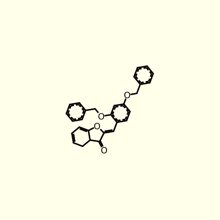 O=C1/C(=C/c2ccc(OCc3ccccc3)cc2OCc2ccccc2)OC2=CC=CCC12